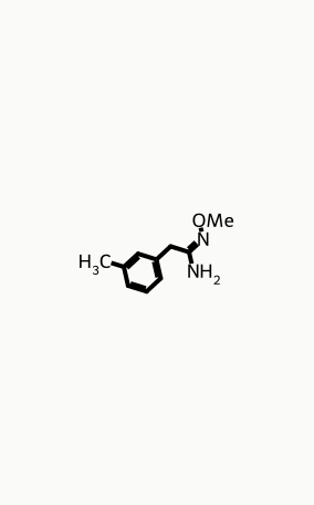 CO/N=C(/N)Cc1cccc(C)c1